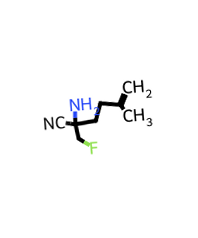 C=C(C)CCC(N)(C#N)CF